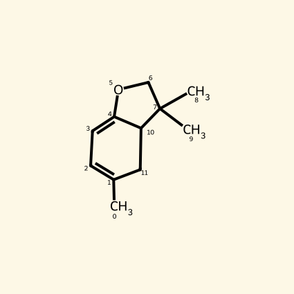 CC1=CC=C2OCC(C)(C)C2C1